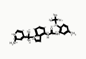 [2H]C([2H])([2H])Oc1ccc(C)cc1NC(=O)Nc1cccc2c1ccn2C([2H])([2H])c1ccnc(N)c1